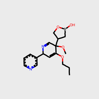 CCCOC1=CC(c2cccnc2)N=CC1(OC)C1COB(O)C1